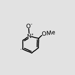 COc1cc[c]c[n+]1[O-]